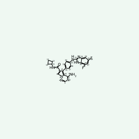 Nc1ncnn2cc(C(=O)NC3CCC3)c(-c3ccc(Nc4nc5cc(F)cc(F)c5[nH]4)cc3)c12